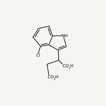 O=C(O)CC(C(=O)O)c1c[nH]c2cccc(Cl)c12